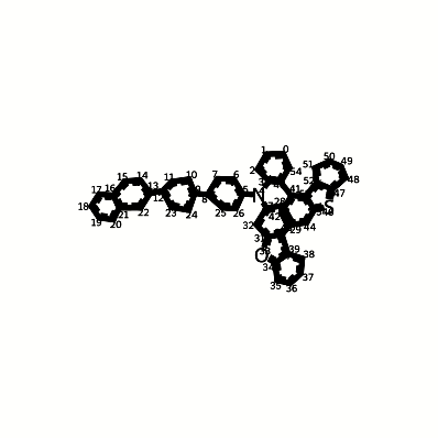 c1ccc(N(c2ccc(-c3ccc(-c4ccc5ccccc5c4)cc3)cc2)c2ccc3c(c2)oc2ccccc23)c(-c2cccc3sc4ccccc4c23)c1